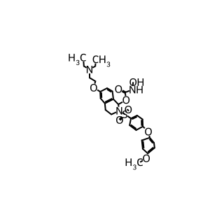 CCN(CC)CCOc1ccc2c(c1)CCN(S(=O)(=O)c1ccc(Oc3ccc(OC)cc3)cc1)C2OC(=O)NO